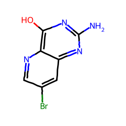 Nc1nc(O)c2ncc(Br)cc2n1